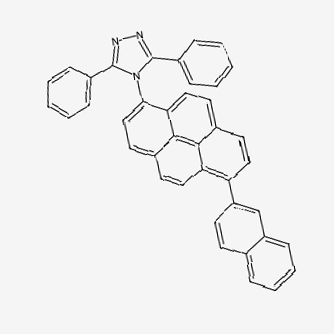 c1ccc(-c2nnc(-c3ccccc3)n2-c2ccc3ccc4c(-c5ccc6ccccc6c5)ccc5ccc2c3c54)cc1